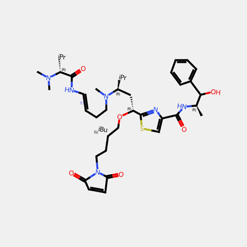 CC[C@H](C)C(/C=C/NC(=O)[C@@H](C(C)C)N(C)C)CN(C)[C@H](C[C@@H](OCCCCN1C(=O)C=CC1=O)c1nc(C(=O)N[C@H](C)C(O)c2ccccc2)cs1)C(C)C